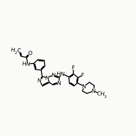 C=CC(=O)Nc1cccc(-c2ncc3cnc(Nc4ccc(N5CCN(C)CC5)c(F)c4F)nn23)c1